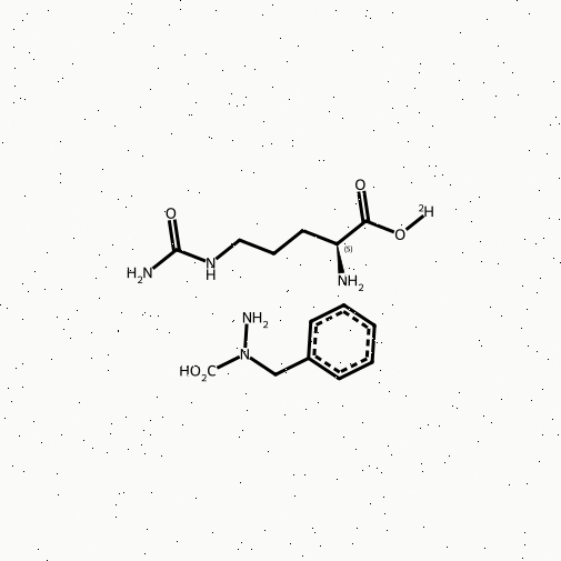 NN(Cc1ccccc1)C(=O)O.[2H]OC(=O)[C@@H](N)CCCNC(N)=O